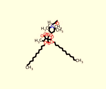 CCCCCCCCCCCCCOC(=O)C(C(=O)OCCCCCCCCCCCCC)(C(=O)OC1CC(C)(C)N(CC2CO2)C(C)(C)C1)C(CC)C(=O)O